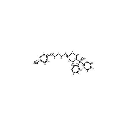 CC(C)(C)c1ccc(OCCCCN2CCC(C(O)(c3ccccc3)c3ccccc3)CC2)cc1